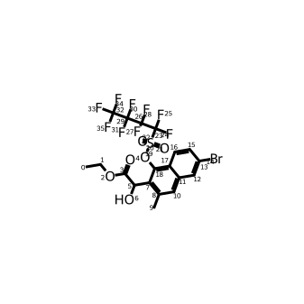 CCOC(=O)C(O)c1c(C)cc2cc(Br)ccc2c1OS(=O)(=O)C(F)(F)C(F)(F)C(F)(F)C(F)(F)F